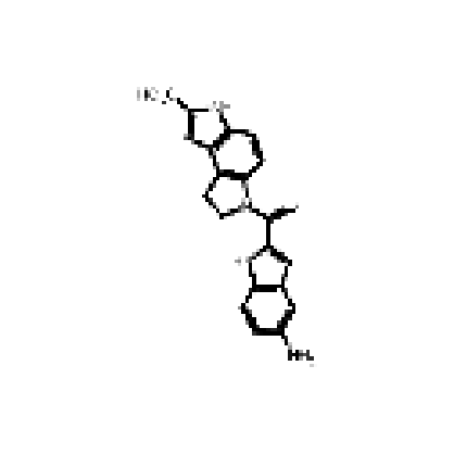 Nc1ccc2[nH]c(C(=O)N3CCc4c3ccc3[nH]c(C(=O)O)cc43)cc2c1